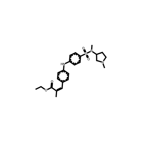 CCOC(=O)C(C)=Cc1ccc(Nc2ccc(S(=O)(=O)N(C)C3CCN(C)C3)cc2)cc1